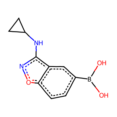 OB(O)c1ccc2onc(NC3CC3)c2c1